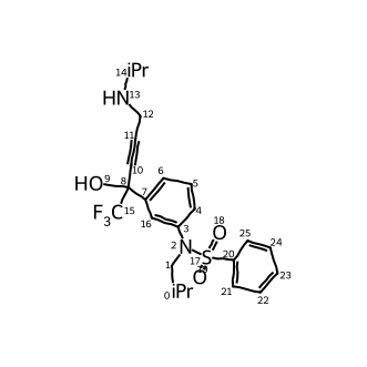 CC(C)CN(c1cccc(C(O)(C#CCNC(C)C)C(F)(F)F)c1)S(=O)(=O)c1ccccc1